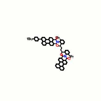 CC(C)c1cccc(C(C)CCC(C)c2cccc(C(C)C)c2N2C(=O)c3ccc4c5cccc6c(-c7ccc(C(C)(C)C)cc7)ccc(c7ccc(c3c47)C2=O)c65)c1N1C(=O)c2ccc3c4cccc5cccc(c6ccc(c2c36)C1=O)c54